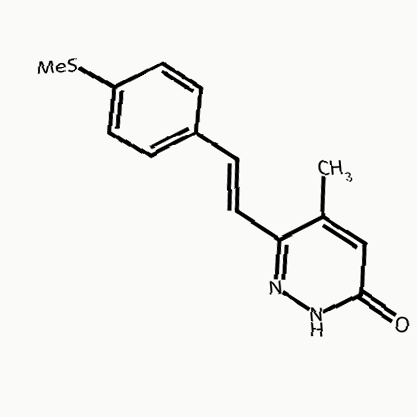 CSc1ccc(/C=C/c2n[nH]c(=O)cc2C)cc1